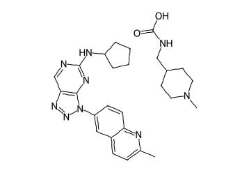 CN1CCC(CNC(=O)O)CC1.Cc1ccc2cc(-n3nnc4cnc(NC5CCCC5)nc43)ccc2n1